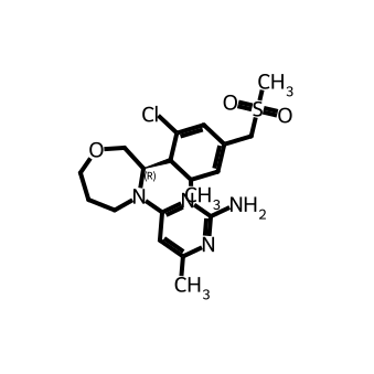 Cc1cc(N2CCCOC[C@H]2C2C(Cl)=CC(CS(C)(=O)=O)=CC2C)nc(N)n1